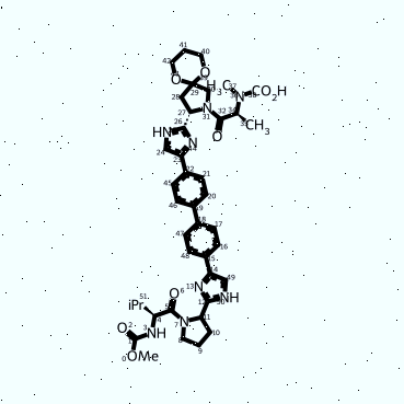 COC(=O)N[C@H](C(=O)N1CCCC1c1nc(-c2ccc(-c3ccc(-c4c[nH]c([C@@H]5CC6(CN5C(=O)[C@H](C)N(C)C(=O)O)OCCCO6)n4)cc3)cc2)c[nH]1)C(C)C